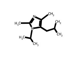 Cc1nc(C)n(C(C)C)c1CC(C)C